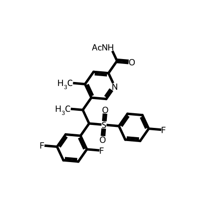 CC(=O)NC(=O)c1cc(C)c(C(C)C(c2cc(F)ccc2F)S(=O)(=O)c2ccc(F)cc2)cn1